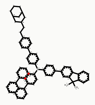 CC1(C)c2ccccc2-c2ccc(-c3ccc(N(c4ccc(-c5ccc(CCC6CC7CCCC(C7)C6)cc5)cc4)c4ccc(-c5cccc6cccc(-c7ccccc7)c56)cc4)cc3)cc21